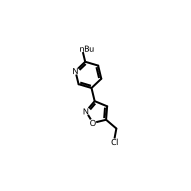 CCCCc1ccc(-c2cc(CCl)on2)cn1